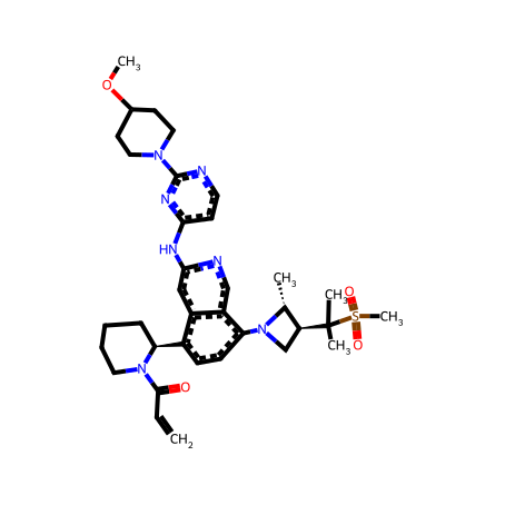 C=CC(=O)N1CCCC[C@H]1c1ccc(N2C[C@H](C(C)(C)S(C)(=O)=O)[C@H]2C)c2cnc(Nc3ccnc(N4CCC(OC)CC4)n3)cc12